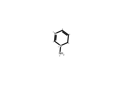 NN1C=NC=[C]C1